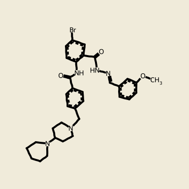 COc1cccc(C=NNC(=O)c2cc(Br)ccc2NC(=O)c2ccc(CN3CCC(N4CCCCC4)CC3)cc2)c1